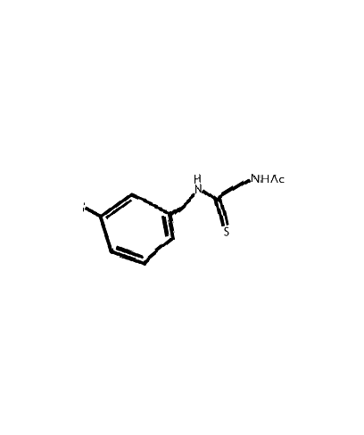 CC(=O)NC(=S)Nc1cccc(I)c1